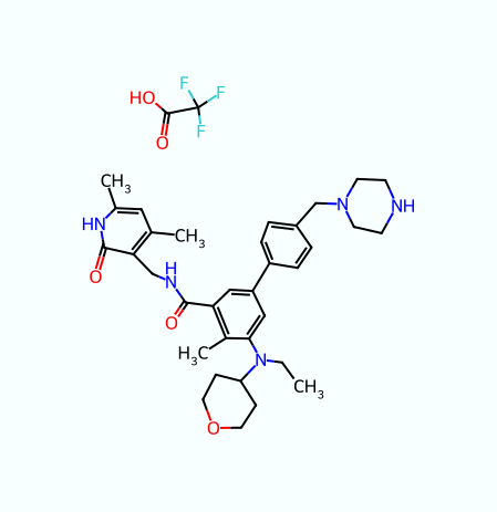 CCN(c1cc(-c2ccc(CN3CCNCC3)cc2)cc(C(=O)NCc2c(C)cc(C)[nH]c2=O)c1C)C1CCOCC1.O=C(O)C(F)(F)F